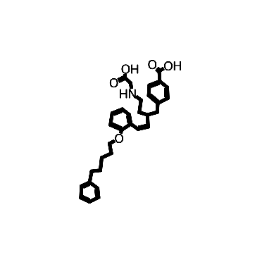 O=C(O)CNCCC(/C=C\c1ccccc1OCCCCCc1ccccc1)Cc1ccc(C(=O)O)cc1